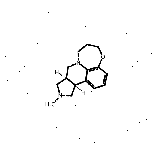 CN1C[C@H]2CN3CCCOc4cccc(c43)[C@H]2C1